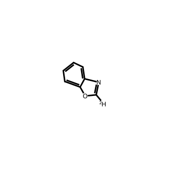 [2H]c1nc2ccccc2o1